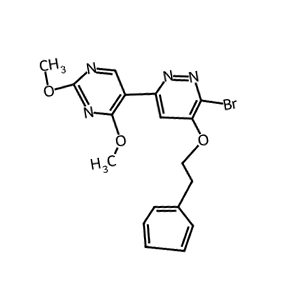 COc1ncc(-c2cc(OCCc3ccccc3)c(Br)nn2)c(OC)n1